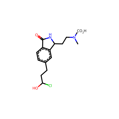 CN(CCC1NC(=O)c2ccc(CCC(O)Cl)cc21)C(=O)O